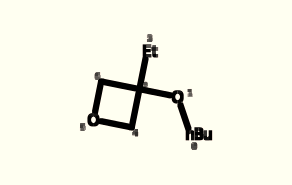 [CH2]CCCOC1(CC)COC1